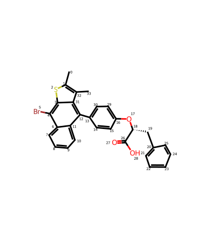 Cc1sc2c(Br)c3ccccc3c(-c3ccc(O[C@H](Cc4ccccc4)C(=O)O)cc3)c2c1C